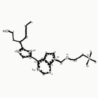 CCCC(CCO)c1ncc(-c2ncnc3c2ccn3COCC[Si](C)(C)C)s1